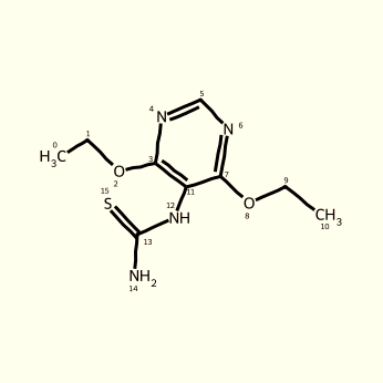 CCOc1ncnc(OCC)c1NC(N)=S